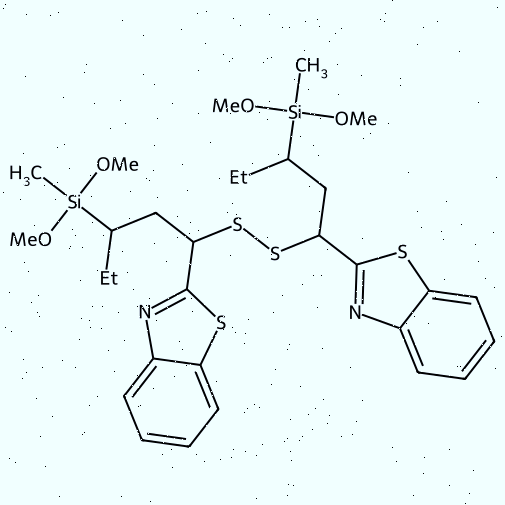 CCC(CC(SSC(CC(CC)[Si](C)(OC)OC)c1nc2ccccc2s1)c1nc2ccccc2s1)[Si](C)(OC)OC